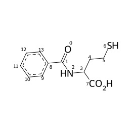 O=C(NC(CCS)C(=O)O)c1ccccc1